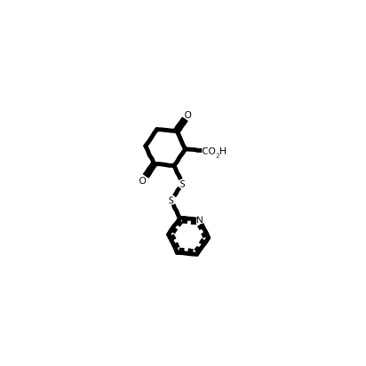 O=C1CCC(=O)C(C(=O)O)C1SSc1ccccn1